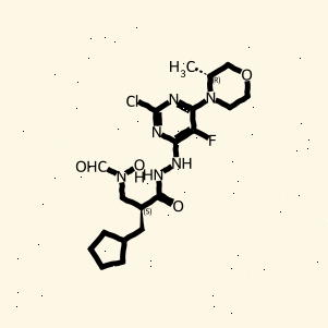 C[C@@H]1COCCN1c1nc(Cl)nc(NNC(=O)[C@@H](CC2CCCC2)CN(O)C=O)c1F